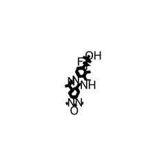 Cc1c([C@@H](C)Nc2nnc(C)c3cc4c(cc23)n(C)c(=O)n4C)cccc1C(F)(F)C(C)(C)O